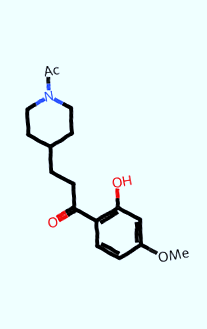 COc1ccc(C(=O)CCC2CCN(C(C)=O)CC2)c(O)c1